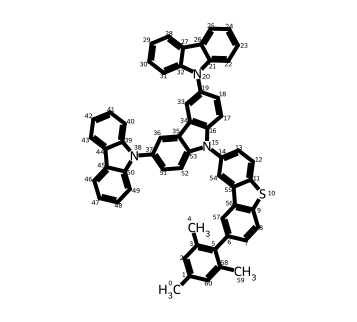 Cc1cc(C)c(-c2ccc3sc4ccc(-n5c6ccc(-n7c8ccccc8c8ccccc87)cc6c6cc(-n7c8ccccc8c8ccccc87)ccc65)cc4c3c2)c(C)c1